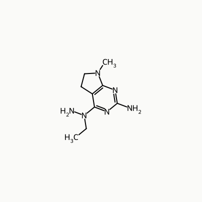 CCN(N)c1nc(N)nc2c1CCN2C